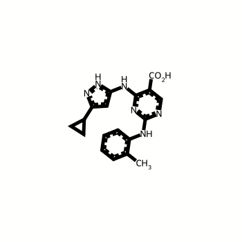 Cc1ccccc1Nc1ncc(C(=O)O)c(Nc2cc(C3CC3)n[nH]2)n1